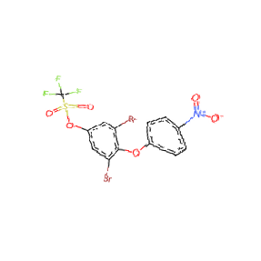 O=[N+]([O-])c1ccc(Oc2c(Br)cc(OS(=O)(=O)C(F)(F)F)cc2Br)cc1